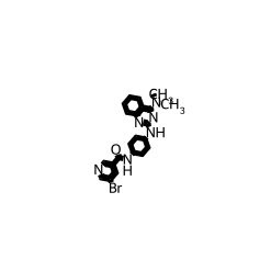 CN(C)c1nc(NC2CCC(NC(=O)c3cncc(Br)c3)CC2)nc2c1CCCC2